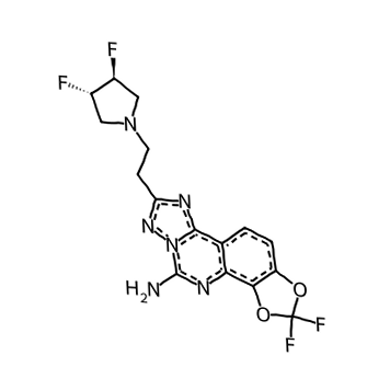 Nc1nc2c3c(ccc2c2nc(CCN4C[C@H](F)[C@@H](F)C4)nn12)OC(F)(F)O3